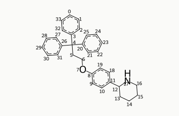 c1ccc(C(CCOc2ccc(C3CCCCN3)cc2)(c2ccccc2)c2ccccc2)cc1